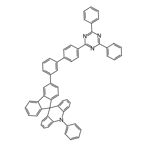 c1ccc(-c2nc(-c3ccccc3)nc(-c3ccc(-c4cccc(-c5ccc6c(c5)-c5ccccc5C65c6ccccc6N(c6ccccc6)c6ccccc65)c4)cc3)n2)cc1